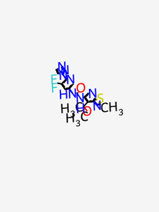 CO[C@@H](C)c1c(NC(=O)Nc2cnc(-n3ccnn3)c(C(F)F)c2)cnc2sc(C)nc12